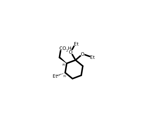 CCOC1(OCC)CCC[C@H](CC)[C@H]1CC(=O)O